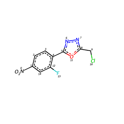 O=[N+]([O-])c1ccc(-c2nnc(CCl)o2)c(F)c1